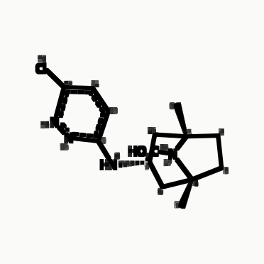 C[C@]12CC[C@](C)(C[C@H](Nc3ccc(Cl)nn3)C1)N2C(=O)O